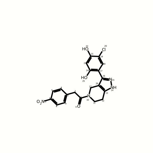 O=C(Cc1ccc([N+](=O)[O-])cc1)N1CCc2[nH]nc(-c3cc(Cl)c(O)cc3O)c2C1